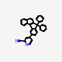 N#Cc1cc(-c2ccc3c(c2)-c2c(ccc4ccccc24)C3(c2ccccc2)c2ccccc2)ccn1